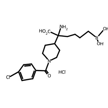 Cl.NC(CCCCB(O)O)(C(=O)O)C1CCN(C(=O)c2ccc(Cl)cc2)CC1